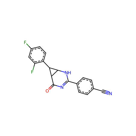 N#Cc1ccc(C2=NC(=O)C3C(N2)C3c2ccc(F)cc2F)cc1